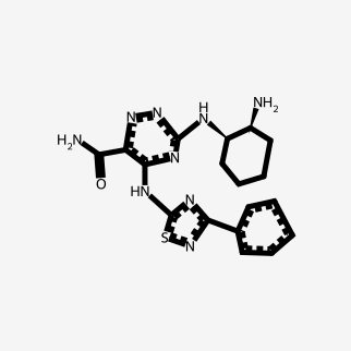 NC(=O)c1nnc(N[C@@H]2CCCC[C@@H]2N)nc1Nc1nc(-c2ccccc2)ns1